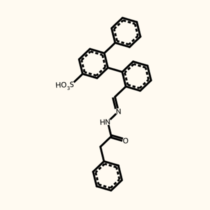 O=C(Cc1ccccc1)N/N=C/c1ccccc1-c1cc(S(=O)(=O)O)ccc1-c1ccccc1